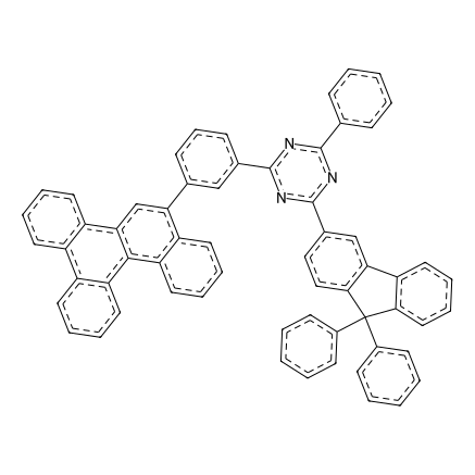 c1ccc(-c2nc(-c3cccc(-c4cc5c6ccccc6c6ccccc6c5c5ccccc45)c3)nc(-c3ccc4c(c3)-c3ccccc3C4(c3ccccc3)c3ccccc3)n2)cc1